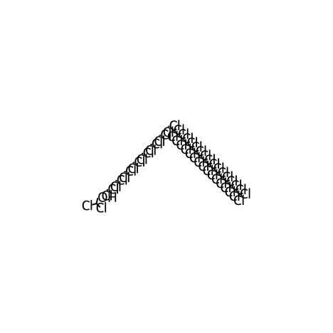 ClCCl.ClCCl.ClCCl.ClCCl.ClCCl.ClCCl.ClCCl.ClCCl.ClCCl.ClCCl.ClCCl.ClCCl.ClCCl.ClCCl.ClCCl.ClCCl.ClCCl.ClCCl.ClCCl.ClCCl.ClCCl.ClCCl.ClCCl.ClCCl.OCC(Cl)Cl